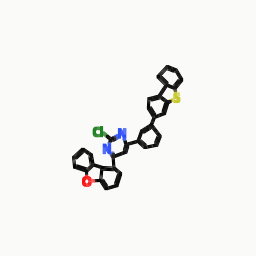 Clc1nc(-c2cccc(-c3ccc4c(c3)sc3ccccc34)c2)cc(-c2cccc3oc4ccccc4c23)n1